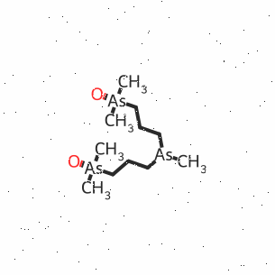 C[As](CCC[As](C)(C)=O)CCC[As](C)(C)=O